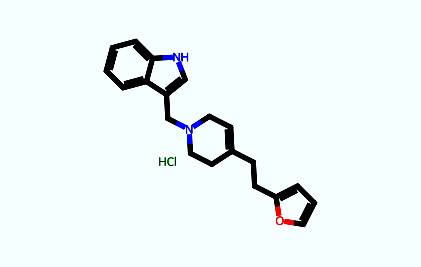 C1=C(CCc2ccco2)CCN(Cc2c[nH]c3ccccc23)C1.Cl